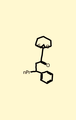 [CH2]CCC(CC(=O)[C]1OC2CCCC(CCC2)S1)c1ccccc1